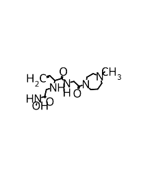 C=CC(NCC(=O)NO)C(=O)NCC(=O)N1CCCN(C)CC1